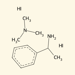 CC(N)c1ccccc1.CN(C)C.I.I